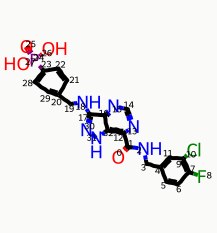 O=C(NCc1ccc(F)c(Cl)c1)c1ncnc2c(NCc3ccc(P(=O)(O)O)cc3)n[nH]c12